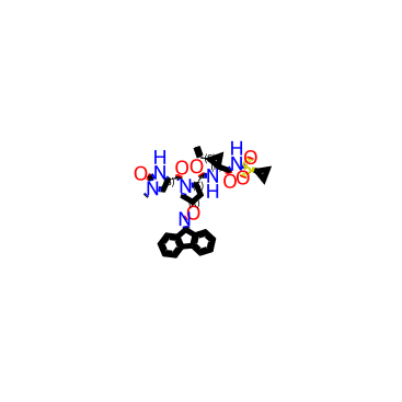 C=C[C@@H]1C[C@]1(NC(=O)[C@@H]1C[C@@H](ON=C2c3ccccc3-c3ccccc32)CN1C(=O)[C@@H]1CN(C)C(=O)N1)C(=O)NS(=O)(=O)C1CC1